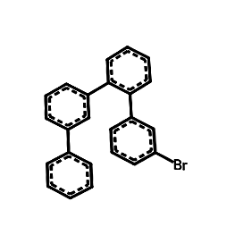 Brc1cccc(-c2ccccc2-c2cccc(-c3ccccc3)c2)c1